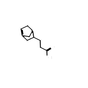 O=C(O)CCC1CC2=CCC1C2